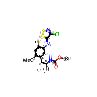 COc1cc(Br)c(/N=c2\ssnc2Cl)cc1CC(NC(=O)OC(C)(C)C)C(=O)O